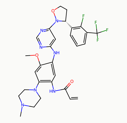 C=CC(=O)Nc1cc(Nc2cc(N3OCC[C@@H]3c3cccc(C(F)(F)F)c3F)ncn2)c(OC)cc1N1CCN(C)CC1